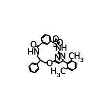 Cc1cccc(C)c1-c1cc2nc(n1)NS(=O)(=O)c1cccc(c1)C(=O)NCC(c1ccccc1)CO2